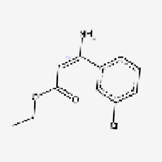 CCOC(=O)/C=C(/N)c1cccc(Cl)c1